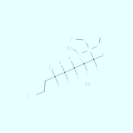 CCO[Si](OCC)(OCC)C(F)(F)C(F)(F)C(F)(F)C(F)(F)C(F)(F)CCC(F)(F)F.F